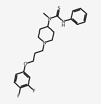 CN(C(=S)Nc1ccccc1)C1CCN(CCCOc2ccc(F)c(F)c2)CC1